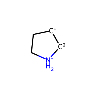 [C-2]1[CH+]CC[NH2+]1